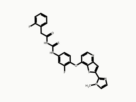 Cn1ccnc1-c1cc2nccc(Oc3ccc(NC(=S)NC(=O)Cc4ccccc4F)cc3F)c2s1